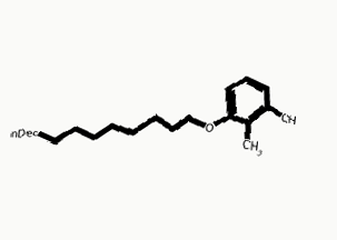 CCCCCCCCCCCCCCCCCCOc1cccc(O)c1C